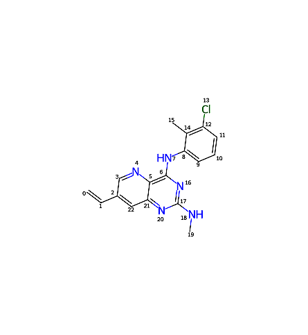 C=Cc1cnc2c(Nc3cccc(Cl)c3C)nc(NC)nc2c1